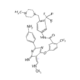 CN/C=C1\C(=N)N=C(c2ccc(N)cc2)N=C1Oc1ccc(C)c(C(=O)Nc2ccc(CN3CCN(C)CC3)c(C(F)(F)F)c2)c1